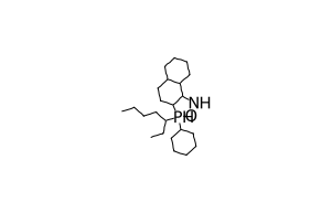 CCCCC(CC)[PH]1(C2CCCCC2)ONC2C3CCCCC3CCC21